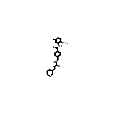 [2H]c1ccc(N)c(NC(=O)c2ccc(CNC(=O)/C=C/c3cccnc3)cc2)c1